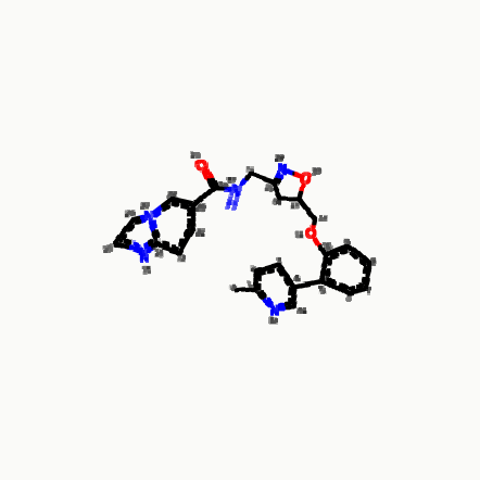 Cc1ccc(-c2ccccc2OCC2CC(CNC(=O)c3ccc4nccn4c3)=NO2)cn1